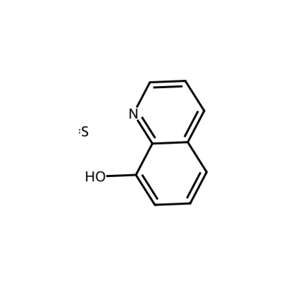 Oc1cccc2cccnc12.[S]